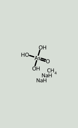 C.O=[As](O)(O)O.[NaH].[NaH]